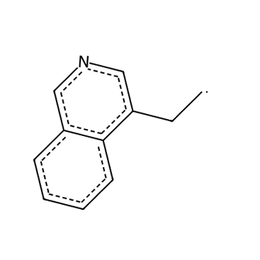 [CH2]Cc1cncc2ccccc12